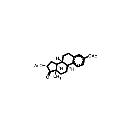 CC(=O)Oc1ccc2c(c1)CC[C@@H]1[C@@H]2CC[C@]2(C)C(=O)[C@@H](OC(C)=O)C[C@@H]12